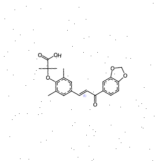 Cc1cc(/C=C/C(=O)c2ccc3c(c2)OCO3)cc(C)c1OC(C)(C)C(=O)O